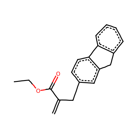 C=C(Cc1ccc2c(c1)Cc1ccccc1-2)C(=O)OCC